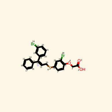 O=C(O)COc1ccc(SC/C=C(/c2ccccc2)c2cccc(Br)c2)cc1Br